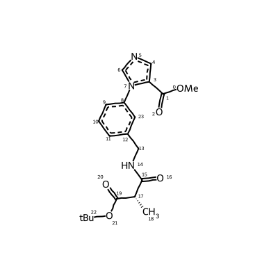 COC(=O)c1cncn1-c1cccc(CNC(=O)[C@H](C)C(=O)OC(C)(C)C)c1